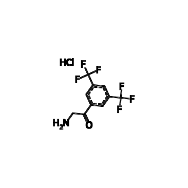 Cl.NCC(=O)c1cc(C(F)(F)F)cc(C(F)(F)F)c1